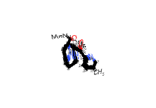 CNC(=O)C12CC(CCC1(OC)C(=O)c1ccc(C)cn1)N2